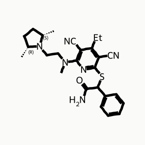 CCc1c(C#N)c(SC(C(N)=O)c2ccccc2)nc(N(C)CCN2[C@H](C)CC[C@@H]2C)c1C#N